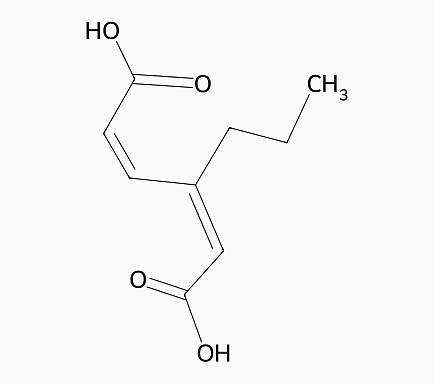 CCCC(/C=C\C(=O)O)=C/C(=O)O